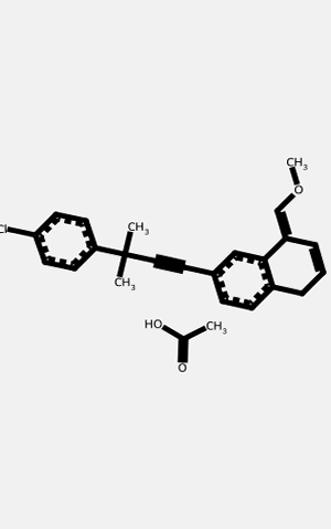 CC(=O)O.COC=C1C=CCc2ccc(C#CC(C)(C)c3ccc(Cl)cc3)cc21